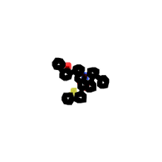 c1ccc(-c2ccccc2-c2c(-c3ccccc3)cccc2N(c2ccc(-c3cccc4c3sc3ccccc34)cc2)c2cccc(-c3cccc4c3oc3ccccc34)c2)cc1